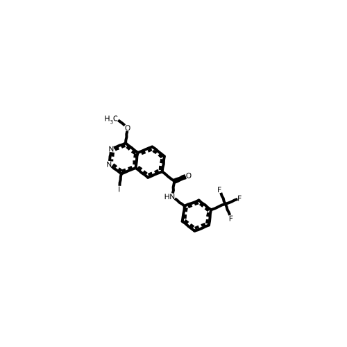 COc1nnc(I)c2cc(C(=O)Nc3cccc(C(F)(F)F)c3)ccc12